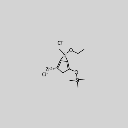 CCO[Si]1(C)C2=[C]([Zr+2])CC(O[Si](C)(C)C)=C21.[Cl-].[Cl-]